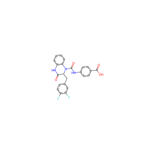 O=C(O)c1ccc(NC(=O)N2c3ccccc3NC(=O)C2Cc2ccc(F)c(F)c2)cc1